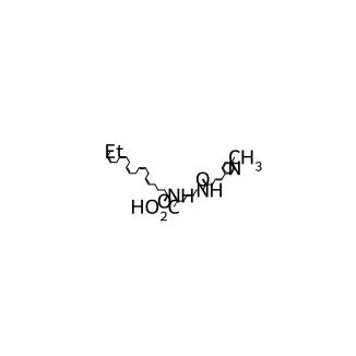 CC/C=C\C/C=C\C/C=C\C/C=C\C/C=C\CCCC(=O)N[C@@H](CCCCNC(=O)C/C=C/c1ccc(C)nc1)C(=O)O